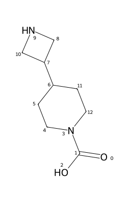 O=C(O)N1CCC(C2CNC2)CC1